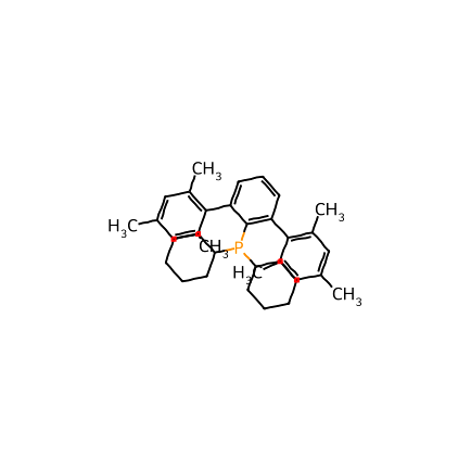 Cc1cc(C)c(-c2cccc(-c3c(C)cc(C)cc3C)c2P(C2CCCCC2)C2CCCCC2)c(C)c1